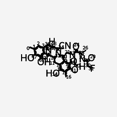 Cc1cc2c(c(O)c1O)[C@H]1C3Cc4c(O)c(C)c5c(c4[C@H](CNC(=O)[C@@H](C)NC(=O)CF)N3[C@@H](C#N)[C@H](C2)N1C)OCO5